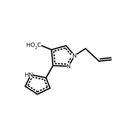 C=CCn1cc(C(=O)O)c(-c2ccc[nH]2)n1